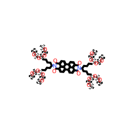 C[Si](C)(C)O[Si](C)(C)O[Si](C)(CCCCC(CCCC[Si](C)(O[Si](C)(C)O[Si](C)(C)C)O[Si](C)(C)O[Si](C)(C)C)N1C(=O)c2ccc3c4ccc5c6c(ccc(c7ccc(c2c37)C1=O)c64)C(=O)N(C(CCCC[Si](C)(O[Si](C)(C)O[Si](C)(C)C)O[Si](C)(C)O[Si](C)(C)C)CCCC[Si](C)(O[Si](C)(C)O[Si](C)(C)C)O[Si](C)(C)O[Si](C)(C)C)C5=O)O[Si](C)(C)O[Si](C)(C)C